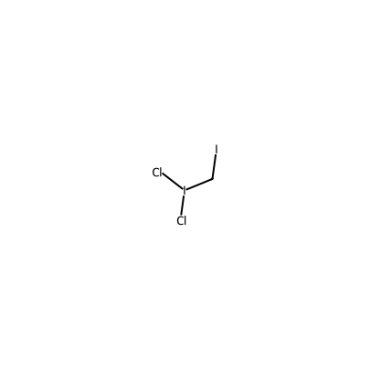 ClI(Cl)CI